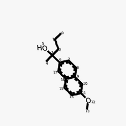 CCCC(C)(O)c1ccc2cc(OC)ccc2c1